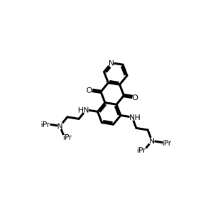 CC(C)N(CCNc1ccc(NCCN(C(C)C)C(C)C)c2c1C(=O)c1ccncc1C2=O)C(C)C